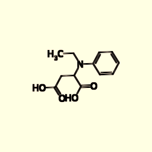 CCN(c1ccccc1)C(CC(=O)O)C(=O)O